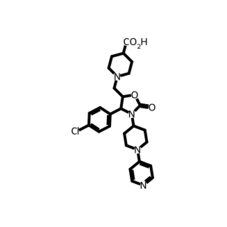 O=C(O)C1CCN(CC2OC(=O)N(C3CCN(c4ccncc4)CC3)C2c2ccc(Cl)cc2)CC1